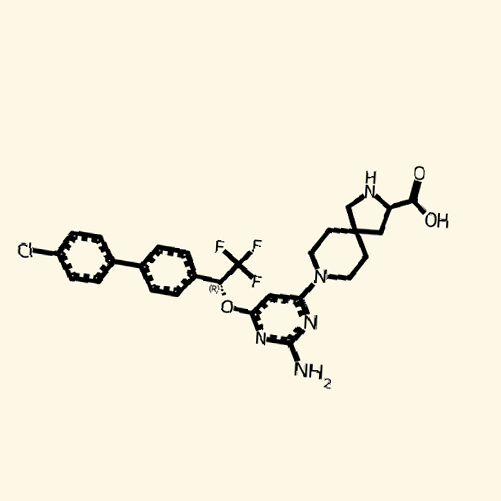 Nc1nc(O[C@H](c2ccc(-c3ccc(Cl)cc3)cc2)C(F)(F)F)cc(N2CCC3(CC2)CNC(C(=O)O)C3)n1